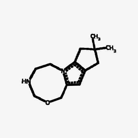 CC1(C)Cc2cc3n(c2C1)CCNCOC3